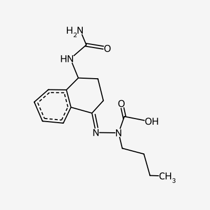 CCCCN(N=C1CCC(NC(N)=O)c2ccccc21)C(=O)O